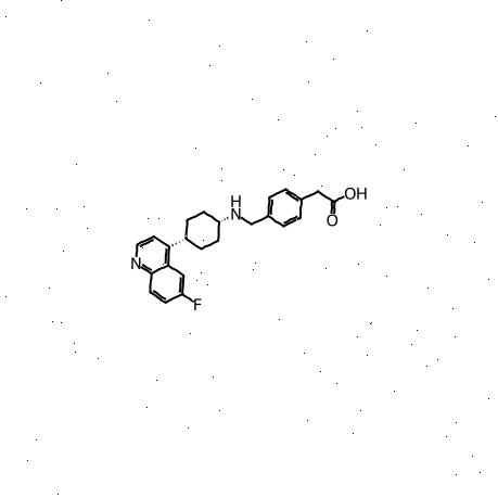 O=C(O)Cc1ccc(CN[C@H]2CC[C@@H](c3ccnc4ccc(F)cc43)CC2)cc1